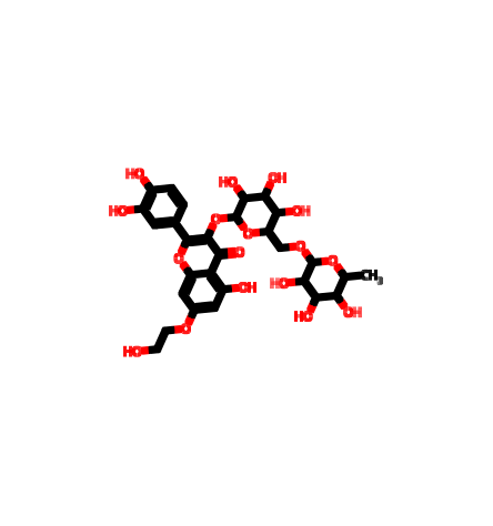 CC1OC(OCC2OC(Oc3c(-c4ccc(O)c(O)c4)oc4cc(OCCO)cc(O)c4c3=O)C(O)C(O)C2O)C(O)C(O)C1O